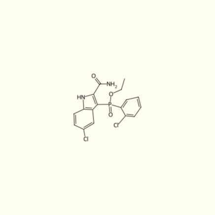 CCOP(=O)(c1ccccc1Cl)c1c(C(N)=O)[nH]c2ccc(Cl)cc12